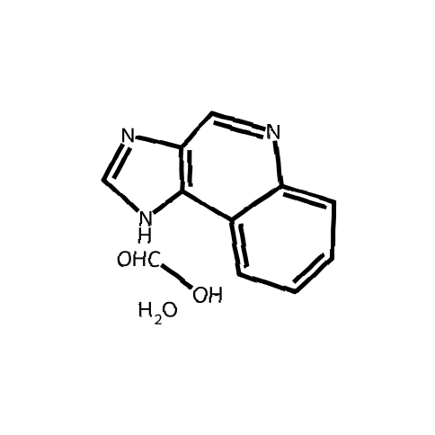 O.O=CO.c1ccc2c(c1)ncc1nc[nH]c12